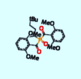 COc1cccc(OC)c1C(=O)P(=O)(C(=O)c1c(OC)cccc1OC)C(C)CCC(C)(C)C